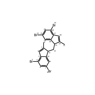 CC1=Cc2c(Br)cc(Br)cc2C1CC1C(C)=Cc2c(Br)cc(Br)cc21